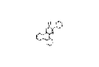 Clc1cc2c3ccccc3c3ccccc3c2nc1-c1ccccc1